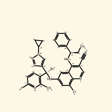 [2H][C@@](Nc1cc(Cl)c2ncc(C#N)c(N[C@H](CC)c3ccccc3)c2c1)(c1cn(C2CC2)nn1)c1ccc(F)nc1C